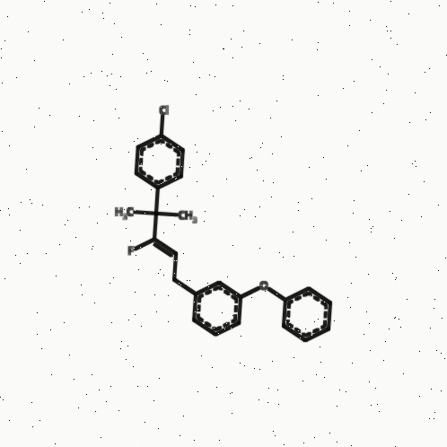 CC(C)(C(F)=CCc1cccc(Oc2ccccc2)c1)c1ccc(Cl)cc1